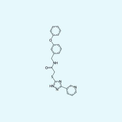 O=C(CSc1nc(-c2cccnc2)n[nH]1)NCc1cccc(Oc2ccccc2)c1